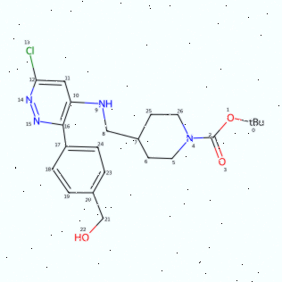 CC(C)(C)OC(=O)N1CCC(CNc2cc(Cl)nnc2-c2ccc(CO)cc2)CC1